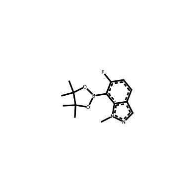 Cn1ncc2ccc(F)c(B3OC(C)(C)C(C)(C)O3)c21